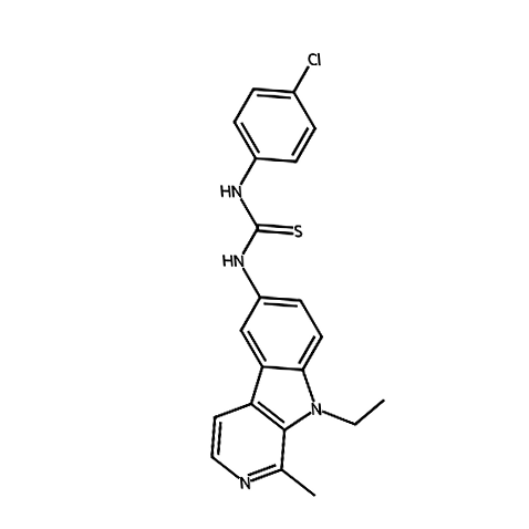 CCn1c2ccc(NC(=S)Nc3ccc(Cl)cc3)cc2c2ccnc(C)c21